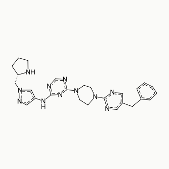 c1ccc(Cc2cnc(N3CCN(c4ncnc(Nc5cnn(C[C@@H]6CCCN6)c5)n4)CC3)nc2)cc1